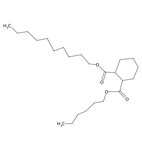 CCCCCCCCCCOC(=O)C1CCCCC1C(=O)OCCCCCC